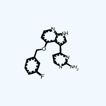 Nc1nccc(-c2c[nH]c3nccc(OCc4cccc(F)c4)c23)n1